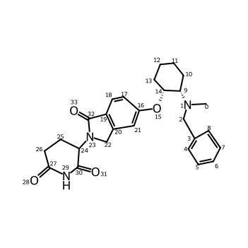 CN(Cc1ccccc1)[C@H]1CCCC[C@H]1Oc1ccc2c(c1)CN(C1CCC(=O)NC1=O)C2=O